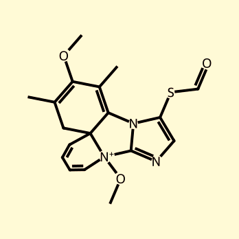 COC1=C(C)CC23C=CC=C[N+]2(OC)c2ncc(SC=O)n2C3=C1C